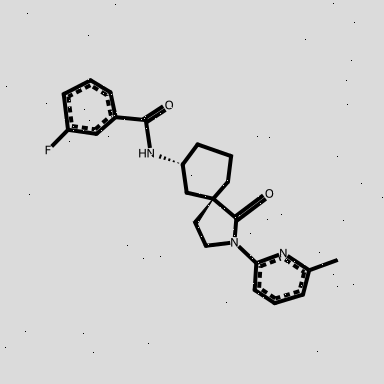 Cc1cccc(N2CC[C@@]3(CCC[C@@H](NC(=O)c4cccc(F)c4)C3)C2=O)n1